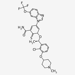 C[C@@H](OC1C=C(n2cnc3ccc(OC(F)(F)F)cc32)C=C(C(N)=O)C1=S)c1cccc(OC2CCN(C)CC2)c1Cl